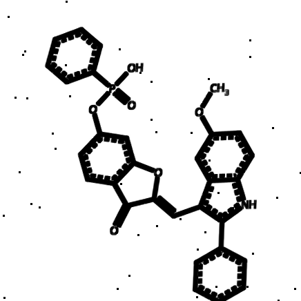 COc1ccc2[nH]c(-c3ccccc3)c(C=C3Oc4cc(OP(=O)(O)c5ccccc5)ccc4C3=O)c2c1